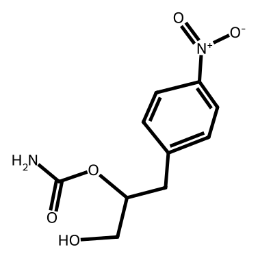 NC(=O)OC(CO)Cc1ccc([N+](=O)[O-])cc1